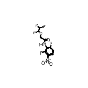 O=C(COC(F)C(F)F)Nc1c(F)ccc([N+](=O)[O-])c1F